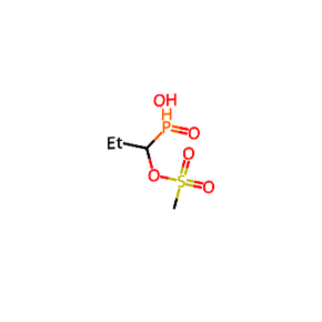 CCC(OS(C)(=O)=O)[PH](=O)O